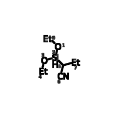 CCO[SiH](OCC)C(C#N)CC